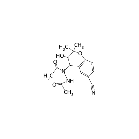 CC(=O)NN(C(C)=O)C1c2cc(C#N)ccc2OC(C)(C)C1O